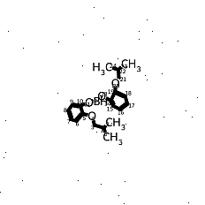 CC(C)COc1ccccc1OBOc1ccccc1OCC(C)C